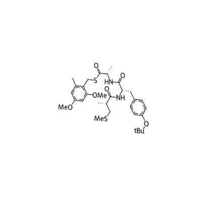 COc1cc(C)c(CSC(=O)[C@H](C)NC(=O)[C@H](Cc2ccc(OC(C)(C)C)cc2)NC(=O)[C@@H](C)CSC)c(OC)c1